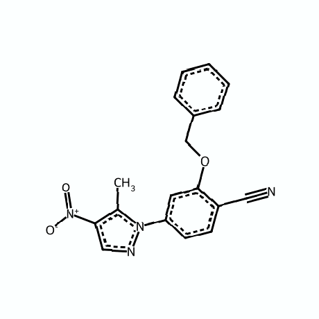 Cc1c([N+](=O)[O-])cnn1-c1ccc(C#N)c(OCc2ccccc2)c1